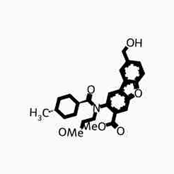 COCCN(c1cc2c(cc1C(=O)OC)oc1ccc(CO)cc12)C(=O)[C@H]1CC[C@H](C)CC1